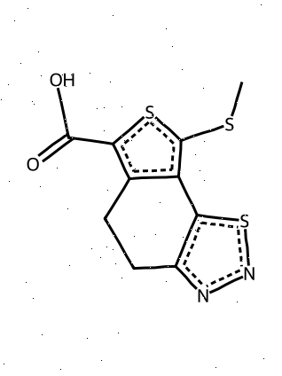 CSc1sc(C(=O)O)c2c1-c1snnc1CC2